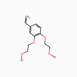 C=Cc1ccc(OCCOCC)c(OCCOCC)c1